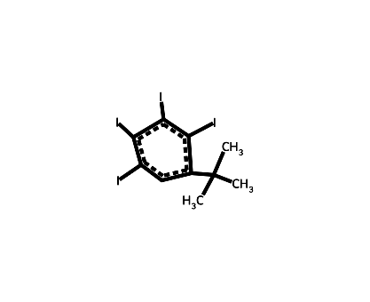 CC(C)(C)c1cc(I)c(I)c(I)c1I